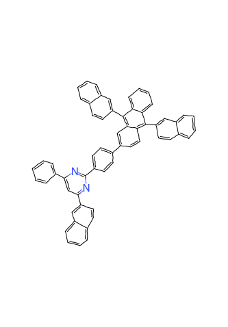 c1ccc(-c2cc(-c3ccc4ccccc4c3)nc(-c3ccc(-c4ccc5c(-c6ccc7ccccc7c6)c6ccccc6c(-c6ccc7ccccc7c6)c5c4)cc3)n2)cc1